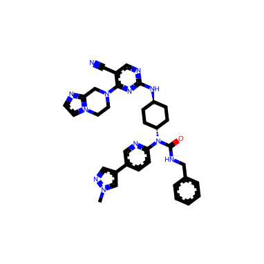 Cn1cc(-c2ccc(N(C(=O)NCc3ccccc3)[C@H]3CC[C@H](Nc4ncc(C#N)c(N5CCn6ccnc6C5)n4)CC3)nc2)cn1